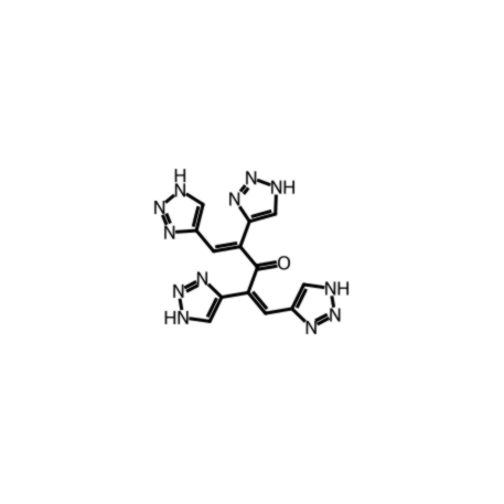 O=C(C(=Cc1c[nH]nn1)c1c[nH]nn1)C(=Cc1c[nH]nn1)c1c[nH]nn1